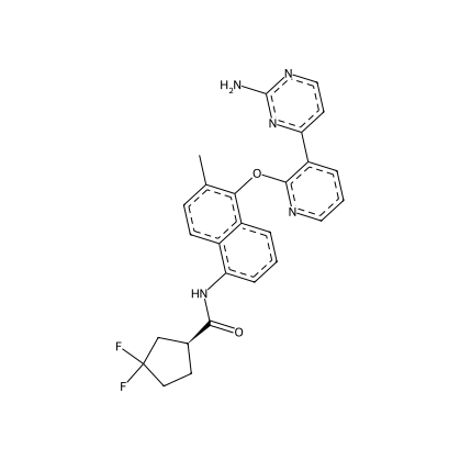 Cc1ccc2c(NC(=O)[C@H]3CCC(F)(F)C3)cccc2c1Oc1ncccc1-c1ccnc(N)n1